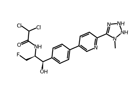 CN1NNN=C1c1ccc(-c2ccc([C@@H](O)[C@@H](CF)NC(=O)C(Cl)Cl)cc2)cn1